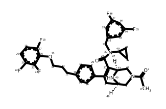 CC(=O)N1C[C@H]2CC(c3ccc(CCCOc4c(F)ccc(F)c4F)cc3)=C(C(=O)N(Cc3cc(F)cc(F)c3)C3CC3)[C@@H](C1)N2